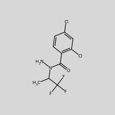 CC(N(N)C(=O)c1ccc(Cl)cc1Cl)C(F)(F)F